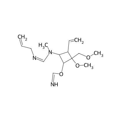 C=CC/N=C\N(C)C1C(C=C)C(COC)(OC)C1OC=N